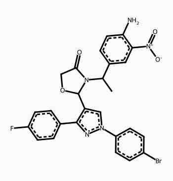 CC(c1ccc(N)c([N+](=O)[O-])c1)N1C(=O)COC1c1cn(-c2ccc(Br)cc2)nc1-c1ccc(F)cc1